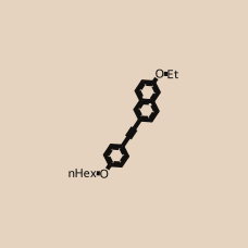 CCCCCCOc1ccc(C#Cc2ccc3cc(OCC)ccc3c2)cc1